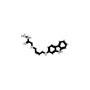 O=C(COC/C=C\COc1ccc2c(c1)[nH]c1ccccc12)NO